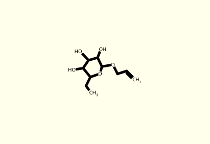 C=CCOC1OC(CC)C(O)C(O)C1O